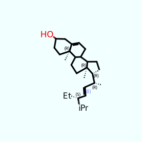 CC[C@H](/C=C/[C@@H](C)[C@H]1CCC2C3CC=C4CC(O)CC[C@]4(C)C3CC[C@@]21C)C(C)C